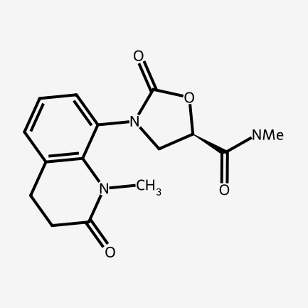 CNC(=O)[C@H]1CN(c2cccc3c2N(C)C(=O)CC3)C(=O)O1